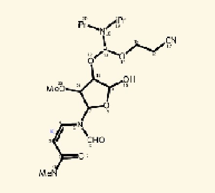 CNC(=O)/C=C\N(C=O)C1OC(O)C(OP(OCCC#N)N(C(C)C)C(C)C)C1OC